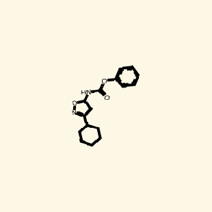 O=C(NC1CC(C2CCCCC2)=NO1)Oc1ccccc1